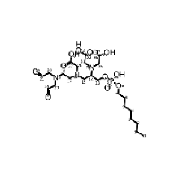 CCCCCCCCOP(=O)(O)OCC(CN(CCN(CC=O)CC=O)CC(=O)O)N(CC(=O)O)CC(=O)O